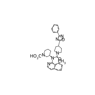 Cc1cccc2ccnc(N(C(=O)N3CCC(c4nc(-c5ccccc5)no4)CC3)[C@@H]3CCCN(C(=O)O)C3)c12